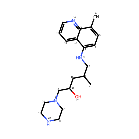 CC(CNc1ccc(C#N)c2ncccc12)CC(O)CN1CCNCC1